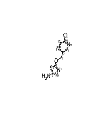 Nc1nnc(OCc2cnc(Cl)cn2)s1